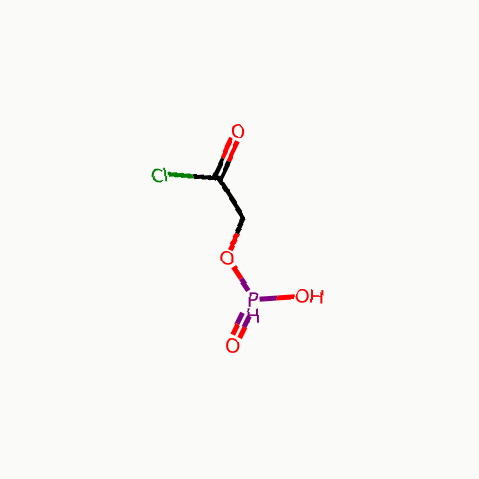 O=C(Cl)CO[PH](=O)O